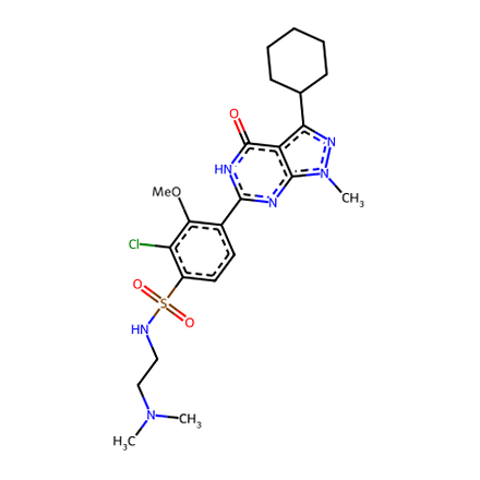 COc1c(-c2nc3c(c(C4CCCCC4)nn3C)c(=O)[nH]2)ccc(S(=O)(=O)NCCN(C)C)c1Cl